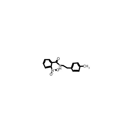 Cc1ccc(CCNC(=O)c2ccccc2[N+](=O)[O-])cc1